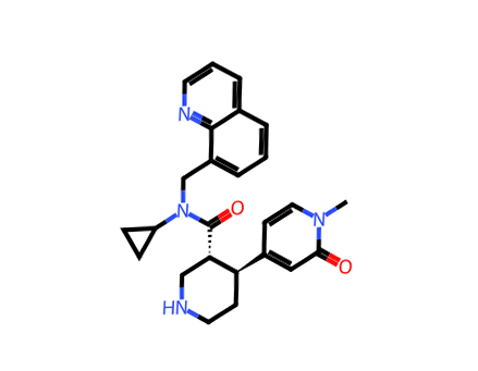 Cn1ccc([C@H]2CCNC[C@@H]2C(=O)N(Cc2cccc3cccnc23)C2CC2)cc1=O